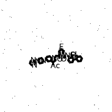 CC(=O)c1cn(CC(=O)N2C[C@H](F)C[C@H]2C(=O)Nc2cccc(-c3ccccc3Cl)c2F)c2ccc(N3CCN(c4ncccn4)CC3)cc12